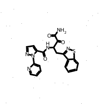 NC(=O)C(=O)C(Cc1nsc2ccccc12)NC(=O)c1ccnn1-c1ccccn1